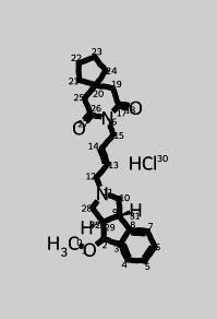 COC1c2ccccc2[C@H]2CN(CC=CCN3C(=O)CC4(CCCC4)CC3=O)C[C@H]12.Cl